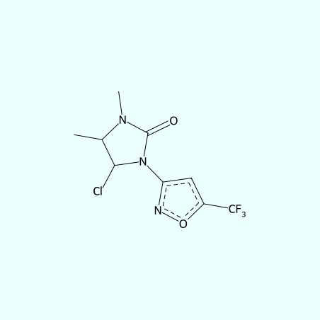 CC1C(Cl)N(c2cc(C(F)(F)F)on2)C(=O)N1C